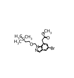 COC(=O)Cc1cc(Br)cc2cnn(COCC[Si](C)(C)C)c12